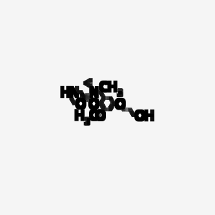 COC1=CC(C(C)N(C(=O)[C@H]2CNCCO2)C2CC2)CC(OCCCO)=C1